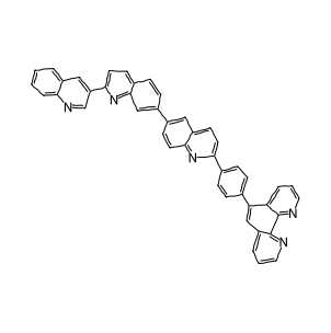 c1ccc2ncc(-c3ccc4ccc(-c5ccc6nc(-c7ccc(-c8cc9cccnc9c9ncccc89)cc7)ccc6c5)cc4n3)cc2c1